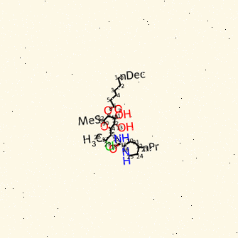 CCCCCCCCCCCCCCCC(=O)O[C@@H]1[C@@H](O)[C@@H](O)[C@@H]([C@H](NC(=O)[C@@H]2CCC(CCC)CCN2)[C@H](C)Cl)O[C@@H]1SC